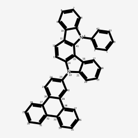 c1ccc(-n2c3ccccc3c3ccc4c(c5ccccc5n4-c4ccc5c6ccccc6c6ccccc6c5c4)c32)cc1